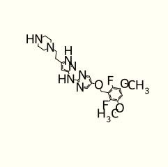 COc1cc(OC)c(F)c(COc2cnc(Nc3cc(CCN4CCNCC4)[nH]n3)nc2)c1F